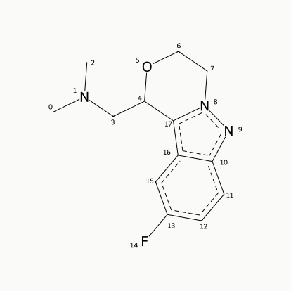 CN(C)CC1OCCn2nc3ccc(F)cc3c21